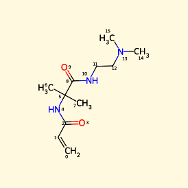 C=CC(=O)NC(C)(C)C(=O)NCCN(C)C